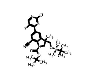 CC(C)(C)OC(=O)N1CC(C)(CO[Si](C)(C)C(C)(C)C)c2cc(-c3nc(Cl)ncc3F)cc(C#N)c21